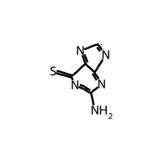 NC1=NC(=S)C2=N[C]=NC2=N1